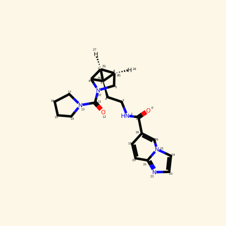 O=C(NCC[C@@]12C3[C@H]1[C@H]2CN3C(=O)N1CCCC1)c1ccc2nccn2c1